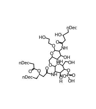 CCCCCCCCCCCC(=O)O[C@H](CCCCCCCCCCC)CC(=O)NC1C(OCC2OC(OCCO)C(NC(=O)C[C@H](O)CCCCCCCCCCC)C(O)C2O)OC(CO)C(OP(=O)(O)O)C1O